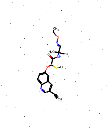 C#Cc1cnc2ccc(OC(SC)C(=O)NC(C)(C)C=NOCC)cc2c1